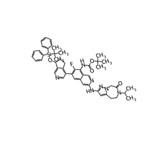 CC(C)N1CCc2cc(Nc3cc4cc(-c5cncc6c5CCC6O[Si](c5ccccc5)(c5ccccc5)C(C)(C)C)c(F)c(NC(=O)OC(C)(C)C)c4cn3)nn2CC1=O